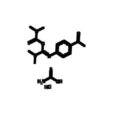 CC(=O)c1ccc(N=C(OC(=S)N(C)C)N(C)C)cc1.Cl.NC(O)=S